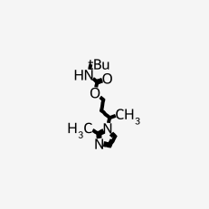 Cc1nccn1C(C)CCOC(=O)NC(C)(C)C